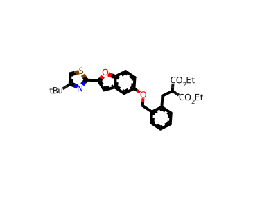 CCOC(=O)C(Cc1ccccc1COc1ccc2oc(-c3nc(C(C)(C)C)cs3)cc2c1)C(=O)OCC